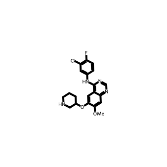 COc1cc2ncnc(Nc3ccc(F)c(Cl)c3)c2cc1OC1CCCNC1